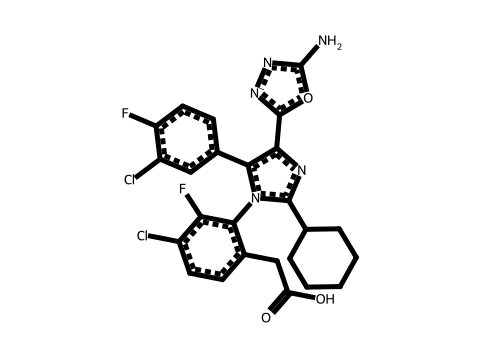 Nc1nnc(-c2nc(C3CCCCC3)n(-c3c(CC(=O)O)ccc(Cl)c3F)c2-c2ccc(F)c(Cl)c2)o1